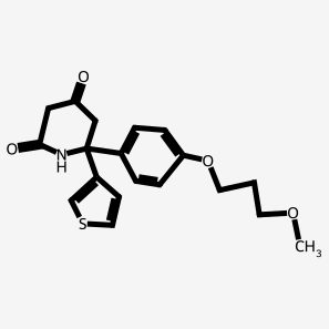 COCCCOc1ccc(C2(c3ccsc3)CC(=O)CC(=O)N2)cc1